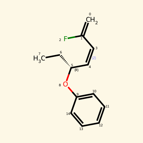 C=C(F)/C=C\[C@@H](CC)Oc1ccccc1